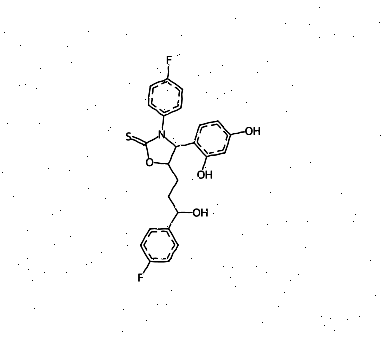 Oc1ccc(C2C(CCC(O)c3ccc(F)cc3)OC(=S)N2c2ccc(F)cc2)c(O)c1